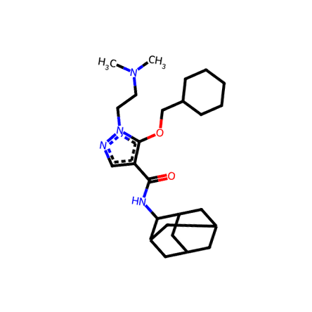 CN(C)CCn1ncc(C(=O)NC2C3CC4CC(C3)CC2C4)c1OCC1CCCCC1